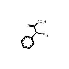 O=C(O)C(=O)C(c1ccccc1)[N+](=O)[O-]